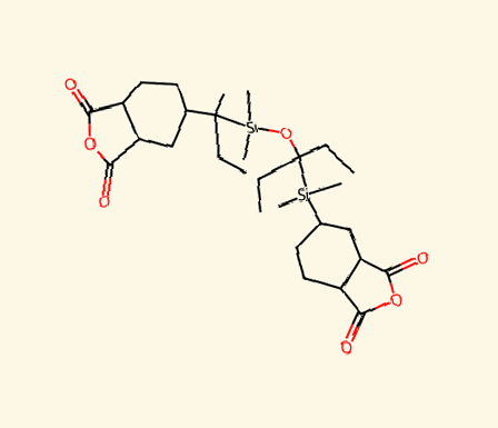 CCC(C)(C1CCC2C(=O)OC(=O)C2C1)[Si](C)(C)OC(CC)(CC)[Si](C)(C)C1CCC2C(=O)OC(=O)C2C1